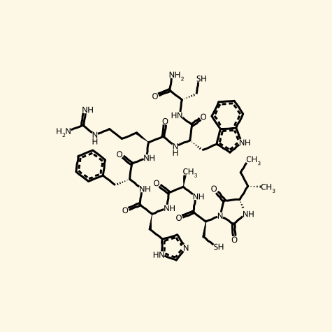 CC[C@H](C)[C@@H]1NC(=O)N([C@@H](CS)C(=O)N[C@H](C)C(=O)N[C@@H](Cc2cnc[nH]2)C(=O)N[C@H](Cc2ccccc2)C(=O)N[C@@H](CCCNC(=N)N)C(=O)N[C@@H](Cc2c[nH]c3ccccc23)C(=O)N[C@@H](CS)C(N)=O)C1=O